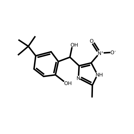 Cc1nc(C(O)c2cc(C(C)(C)C)ccc2O)c([N+](=O)[O-])[nH]1